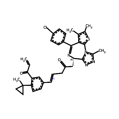 C=CC(=O)c1cc(/C=C/CC(=O)C[C@@H]2N=C(c3ccc(Cl)cc3)c3c(sc(C)c3C)-n3c(C)nnc32)ccc1C1(C)CC1